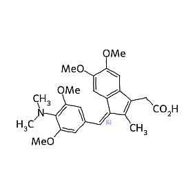 COc1cc2c(cc1OC)/C(=C\c1cc(OC)c(N(C)C)c(OC)c1)C(C)=C2CC(=O)O